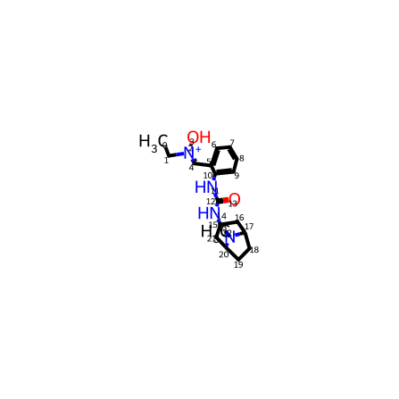 CC[N+](O)=Cc1ccccc1NC(=O)NC1CC2CCC(C1)N2C